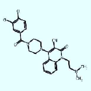 CN(C)CCn1c(=O)c(C#N)c(N2CCN(C(=O)c3ccc(Cl)c(Cl)c3)CC2)c2ccccc21